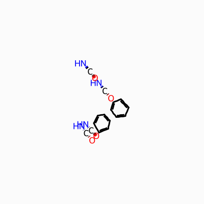 N=C=O.N=C=O.N=C=O.N=C=O.c1ccccc1.c1ccccc1